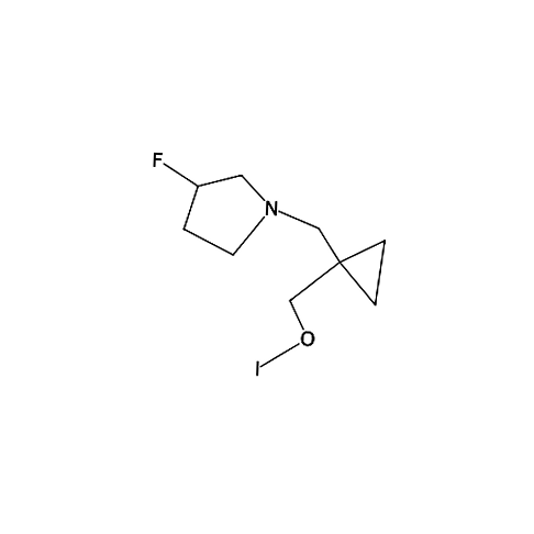 FC1CCN(CC2(COI)CC2)C1